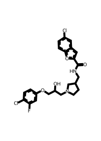 O=C(NCC1CCN(CC(O)COc2ccc(Cl)c(F)c2)C1)c1cc2cc(Cl)ccc2o1